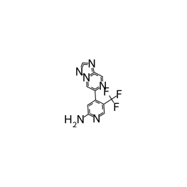 Nc1cc(-c2cn3ncnc3cn2)c(C(F)(F)F)cn1